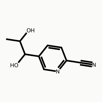 CC(O)C(O)c1ccc(C#N)nc1